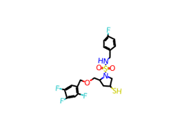 O=S(=O)(NCc1ccc(F)cc1)N1CC(S)CC1COCc1cc(F)c(F)cc1F